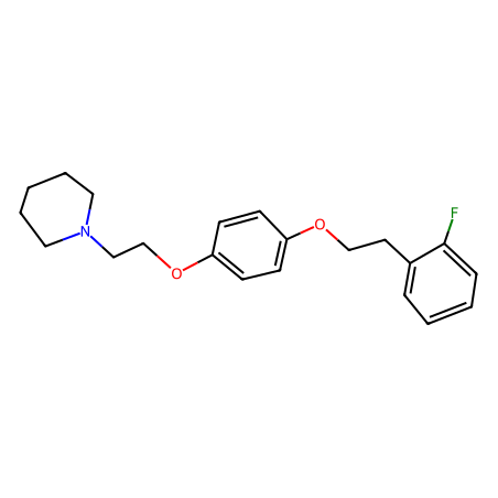 Fc1ccccc1CCOc1ccc(OCCN2CCCCC2)cc1